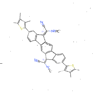 [C-]#[N+]/C(C#N)=C1/c2cc(-c3sc(C)c(C)c3C)ccc2-c2cc3c(cc21)-c1ccc(-c2sc(C)c(C)c2C)cc1/C3=C(/C#N)[N+]#[C-]